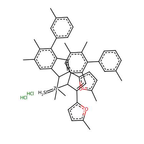 Cc1cccc(-c2c(C)c(C)cc3c2C=C(c2ccc(C)o2)[CH]3[Zr]([CH3])([CH3])(=[SiH2])[CH]2C(c3ccc(C)o3)=Cc3c2cc(C)c(C)c3-c2cccc(C)c2)c1.Cl.Cl